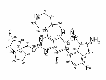 N#Cc1c(N)sc2c(F)ccc(-c3c(Cl)c4c5c(nc(OC[C@@]67CCCN6C[C@H](F)C7)nc5c3F)N3CCNCCC3CO4)c12